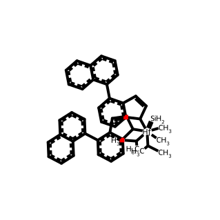 C[CH](C)[Hf]([CH3])([CH3])(=[SiH2])([CH](C)C)([CH]1C=Cc2c(-c3cccc4ccccc34)cccc21)[CH]1C=Cc2c(-c3cccc4ccccc34)cccc21